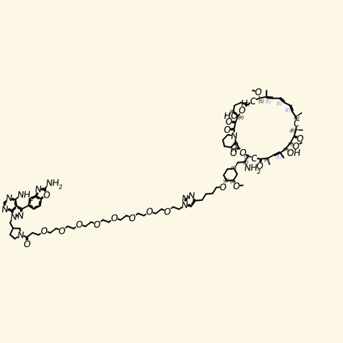 CO[C@H]1C[C@@H]2CC[C@@H](C)[C@@](O)(O2)C(=O)C(=O)N2CCCC[C@H]2C(=O)O[C@H]([C@H](N)C[C@@H]2CC[C@@H](OCCCCc3cn(CCOCCOCCOCCOCCOCCOCCOCCOCCC(=O)N4CCC(Cn5nc(-c6ccc7oc(N)nc7c6)c6c(N)ncnc65)C4)nn3)[C@H](OC)C2)CC(=O)[C@H](C)/C=C(\C)[C@@H](O)[C@@H](OC)C(=O)[C@H](C)C[C@H](C)/C=C/C=C/C=C/1C